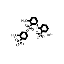 Cc1ccccc1S(=O)(=O)[O-].Cc1ccccc1S(=O)(=O)[O-].Cc1ccccc1S(=O)(=O)[O-].[In+3]